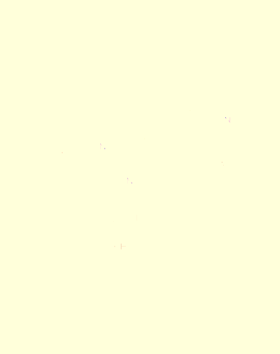 CC(=O)c1ncsc1CSc1nc(O)cc(C(C)(F)F)n1